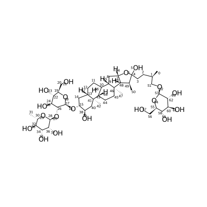 C[C@H](CCC1(O)O[C@H]2C[C@H]3[C@@H]4CC[C@H]5C[C@@H](O[C@@H]6O[C@H](CO)[C@@H](O)[C@H](O)[C@H]6O[C@@H]6O[C@@H](C)[C@H](O)[C@@H](O)[C@H]6O)[C@H](O)C[C@]5(C)[C@H]4CC[C@]3(C)[C@H]2[C@@H]1C)CO[C@@H]1O[C@H](CO)[C@@H](O)[C@H](O)[C@H]1O